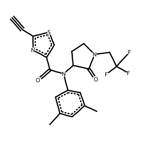 C#Cc1nc(C(=O)N(c2cc(C)cc(C)c2)C2CCN(CC(F)(F)F)C2=O)cs1